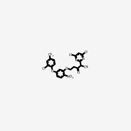 N#CC(C(=O)CCOc1cc(Oc2ccc(C(F)(F)F)cc2Cl)ccc1[N+](=O)[O-])c1nc(Cl)cc(Cl)n1